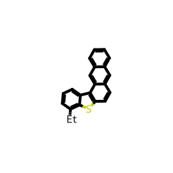 CCc1cccc2c1sc1ccc3cc4ccccc4cc3c12